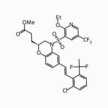 CCOc1ncc(C(F)(F)F)cc1S(=O)(=O)N1C[C@H](CCC(=O)OC)Oc2ccc(/C=C/c3c(Cl)cccc3C(C)(F)F)cc21